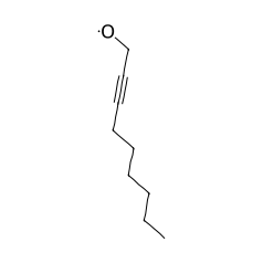 CCCCCCC#CC[O]